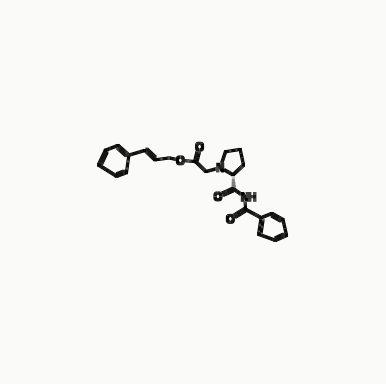 O=C(CN1CCC[C@@H]1C(=O)NC(=O)c1ccccc1)OCC=Cc1ccccc1